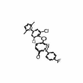 Cc1ccc(C)n1-c1cc(Cl)c(Oc2ccc(=O)n(-c3ccc(F)cc3)n2)c(Cl)c1